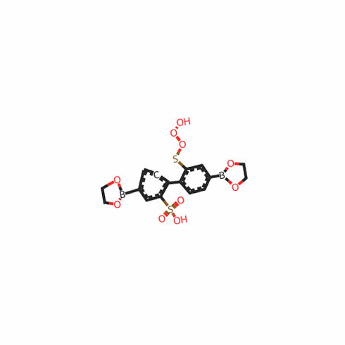 O=S(=O)(O)c1cc(B2OCCO2)ccc1-c1ccc(B2OCCO2)cc1SOOO